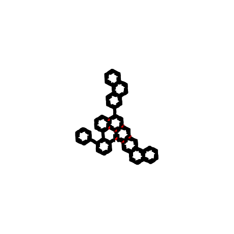 c1ccc(-c2ccccc2-c2c(-c3ccccc3)cccc2N(c2ccc(-c3ccc4c(ccc5ccccc54)c3)cc2)c2ccc3c(ccc4ccccc43)c2)cc1